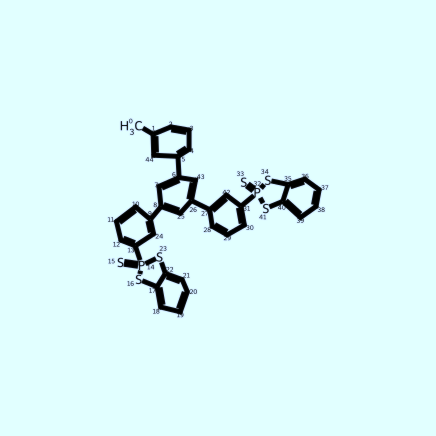 Cc1cccc(-c2cc(-c3cccc(P4(=S)Sc5ccccc5S4)c3)cc(-c3cccc(P4(=S)Sc5ccccc5S4)c3)c2)c1